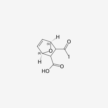 O=C(I)C1C(C(=O)O)[C@H]2C=C[C@@H]1O2